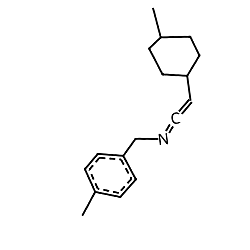 Cc1ccc(CN=C=CC2CCC(C)CC2)cc1